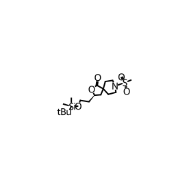 CC(C)(C)[Si](C)(C)OCC[C@@H]1CC2(CCN(S(C)(=O)=O)CC2)C(=O)O1